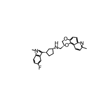 Cc1ccc2c3c(ccc2n1)OC[C@H](CN[C@H]1CC[C@@H](c2cn(C)c4ccc(F)cc24)C1)O3